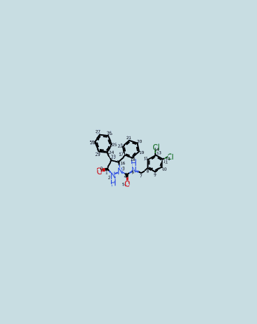 O=C1NN(C(=O)NCc2ccc(Cl)c(Cl)c2)C(c2ccccc2)C1c1ccccc1